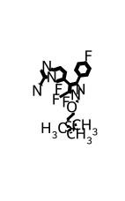 C[Si](C)(C)CCOCn1nc(-c2ccc(F)cc2)c(-c2ccc3ncc(C#N)n3c2)c1C(F)(F)F